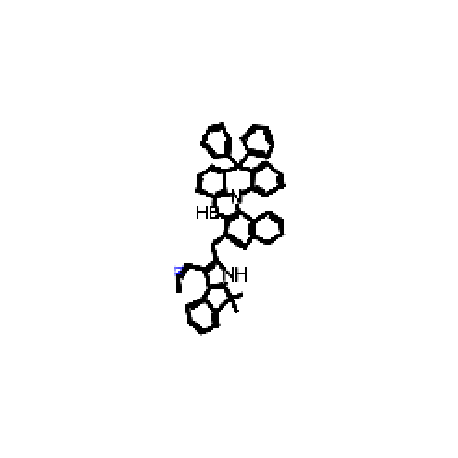 C/C=C\c1c(Cc2cc3c(c4c2Bc2cccc5c2N4c2ccccc2C5(c2ccccc2)c2ccccc2)C=CCC3)[nH]c2c1-c1ccccc1C2(C)C